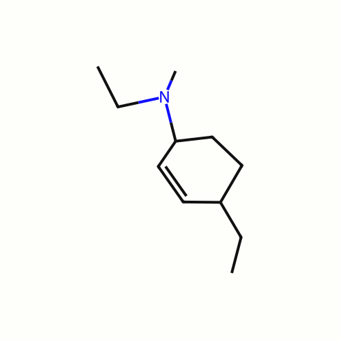 CCC1C=CC(N(C)CC)CC1